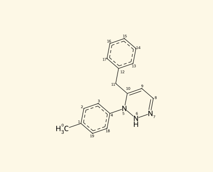 Cc1ccc(N2NN=CC=C2Cc2ccccc2)cc1